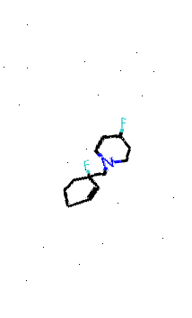 FC1CCN(CC2(F)C=CC=CC2)CC1